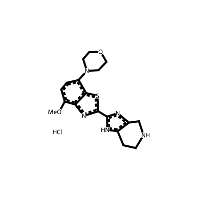 COc1ccc(N2CCOCC2)c2sc(-c3nc4c([nH]3)CCNC4)nc12.Cl